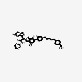 Cc1c(-c2ccc(CCCCCC3CCC(CO)CC3)cc2)cc(Cl)c2cn(C(C(=O)NC3=NC=CSC3)c3ncn4c3C[C@@H](F)C4)nc12